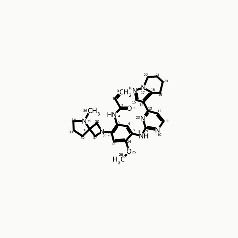 C=CC(=O)Nc1cc(Nc2nccc(-c3cnn4c3CCCC4)n2)c(OC)cc1N1CC2(CCCN2C)C1